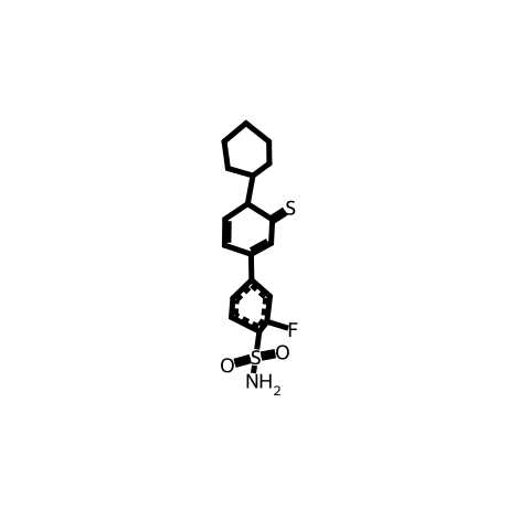 NS(=O)(=O)c1ccc(C2=CC(=S)C(C3CCCCC3)C=C2)cc1F